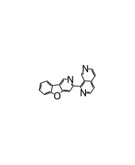 c1ccc2c(c1)oc1cc(-c3nccc4ccncc34)ncc12